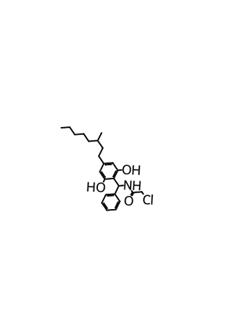 CCCCCC(C)CCc1cc(O)c(C(NC(=O)CCl)c2ccccc2)c(O)c1